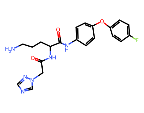 NCCCC(NC(=O)Cn1cncn1)C(=O)Nc1ccc(Oc2ccc(F)cc2)cc1